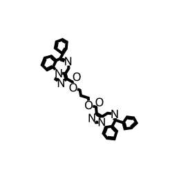 O=C(OCCCOC(=O)c1ncn2c1CN=C(c1ccccc1)c1ccccc1-2)c1ncn2c1CN=C(c1ccccc1)c1ccccc1-2